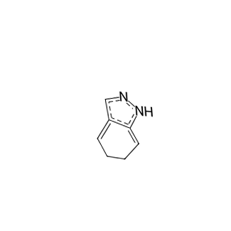 C1=c2cn[nH]c2=CCC1